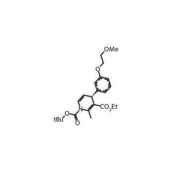 CCOC(=O)C1=C(C)N(C(=O)OC(C)(C)C)C=C[C@H]1c1cccc(OCCOC)c1